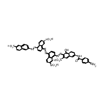 Nc1ccc(C(=O)Nc2ccc3c(O)c(N=Nc4ccc(N=Nc5ccc(N=Nc6ccc7cc(S(=O)(=O)O)ccc7c6)c6ccc(S(=O)(=O)O)cc56)c5ccc(S(=O)(=O)O)cc45)c(S(=O)(=O)O)cc3c2)cc1